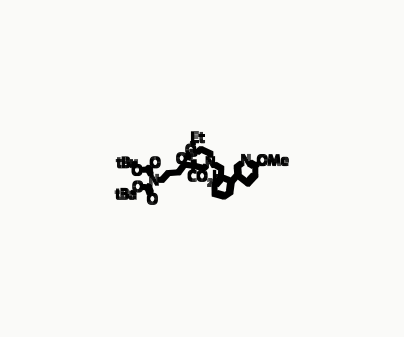 CCOP1(=O)CCN(Cc2ccccc2-c2ccc(OC)nc2)C[C@@]1(CCCCN(C(=O)OC(C)(C)C)C(=O)OC(C)(C)C)C(=O)O